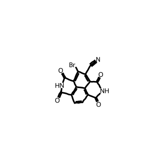 N#Cc1c(Br)c2c3c(ccc4c3c1C(=O)NC4=O)C(=O)NC2=O